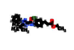 CCOC(=O)CCc1ccc(NC(=O)c2nc(C(C)(C)C)n(-c3ccccc3)n2)c(Cl)c1